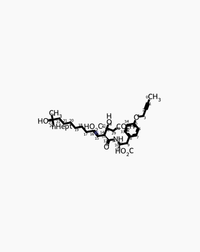 CC#CCOc1ccc(C[C@H](NC(=O)[C@@H](/C=C/CCCCCCC(C)(O)CCCCCCC)[C@@](O)(CC(=O)O)C(=O)O)C(=O)O)cc1